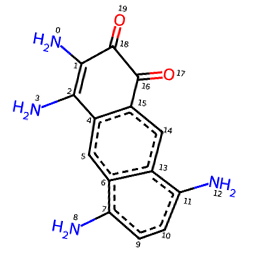 NC1=C(N)c2cc3c(N)ccc(N)c3cc2C(=O)C1=O